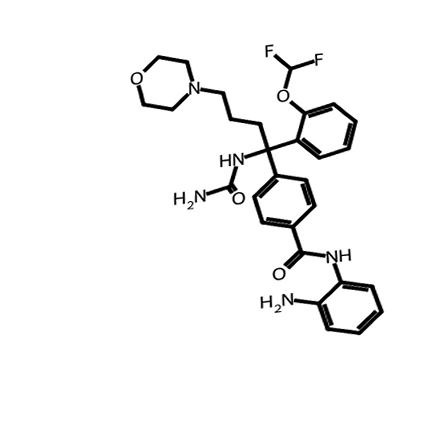 NC(=O)NC(CCCN1CCOCC1)(c1ccc(C(=O)Nc2ccccc2N)cc1)c1ccccc1OC(F)F